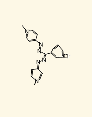 Cn1ccc(=NN=C(N=Nc2cc[n+](C)cc2)c2ccccc2)cc1.[Cl-]